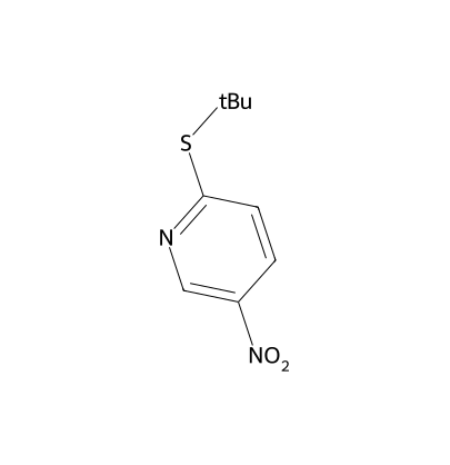 CC(C)(C)Sc1ccc([N+](=O)[O-])cn1